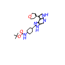 CC(C)(C)OC(=O)NC1CCC(c2nc3c(cnc4[nH]cc(C5=CCOCC5)c43)[nH]2)CC1